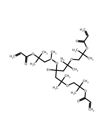 C=CC(=O)OC(C)(C)COC(C)(C)CC(CC)(CC(C)(C)OCC(C)(C)OC(=O)C=C)OP(C)CC(C)(C)OC(=O)C=C